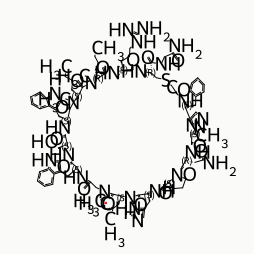 CCCC[C@@H]1C(=O)N[C@@H](CCCNC(=N)N)C(=O)N[C@H](C(=O)NCC(N)=O)CSCC(=O)N[C@@H](Cc2ccccc2)c2cnnn2[C@@H](C)C(=O)N[C@H](CC(N)=O)C(=O)N2CCC[C@H]2C(=O)N[C@@H](Cc2cnc[nH]2)C(=O)N[C@@H](CC(C)C)C(=O)N(C)CC(=O)N[C@@H](Cc2c[nH]c3ccccc23)C(=O)N[C@@H](CO)C(=O)N[C@@H](Cc2c[nH]c3ccccc23)C(=O)N(C)[C@@H](CCCC)C(=O)N1C